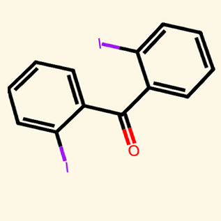 O=C(c1ccccc1I)c1ccccc1I